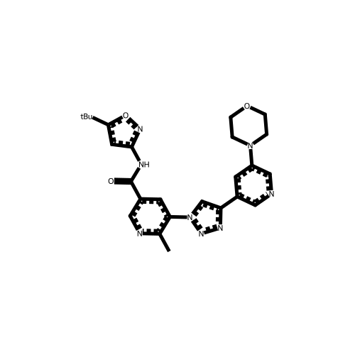 Cc1ncc(C(=O)Nc2cc(C(C)(C)C)on2)cc1-n1cc(-c2cncc(N3CCOCC3)c2)nn1